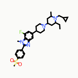 CCC1CC(N2CCC(c3cc(F)c4c(c3)nc(-c3ccc(S(C)(=O)=O)cc3)n4C)CC2)CC(C)N1CC1CC1